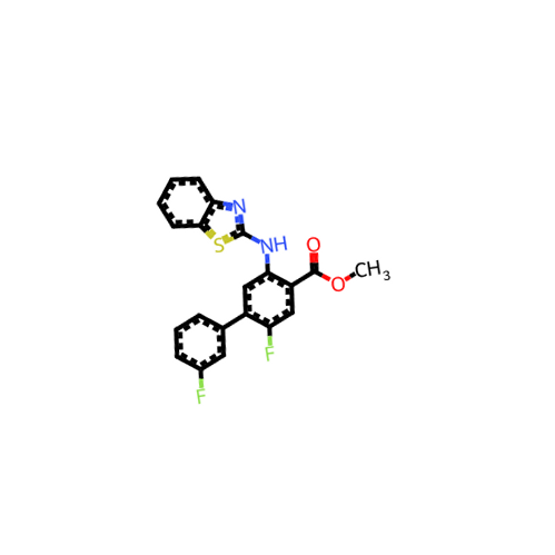 COC(=O)c1cc(F)c(-c2cccc(F)c2)cc1Nc1nc2ccccc2s1